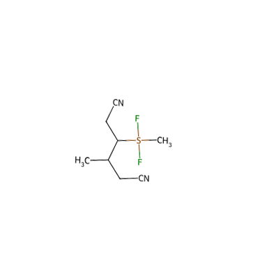 CC(CC#N)C(CC#N)S(C)(F)F